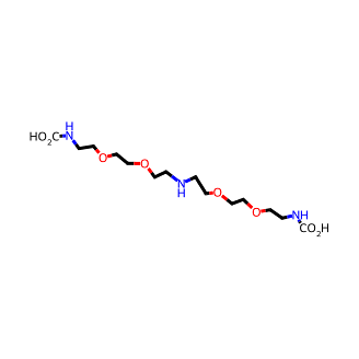 O=C(O)NCCOCCOCCNCCOCCOCCNC(=O)O